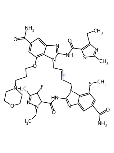 CCc1nc(C)sc1C(=O)Nc1nc2cc(C(N)=O)cc(OCCCN3CCOCC3)c2n1C/C=C/Cn1c(NC(=O)C2C(F)C(C)=NN2CC)nc2cc(C(N)=O)cc(SC)c21